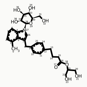 Cc1cccc2c1c(Cc1ccc(CCCC(=O)OC(CO)CO)cc1)cn2[C@@H]1O[C@H](CO)[C@@H](O)[C@H](O)[C@H]1O